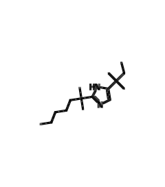 CCCCCC(C)(C)c1ncc(C(C)(C)CC)[nH]1